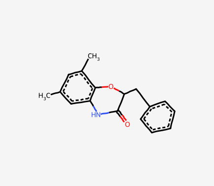 Cc1cc(C)c2c(c1)NC(=O)C(Cc1ccccc1)O2